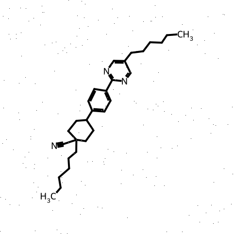 CCCCCCc1cnc(-c2ccc(C3CCC(C#N)(CCCCCC)CC3)cc2)nc1